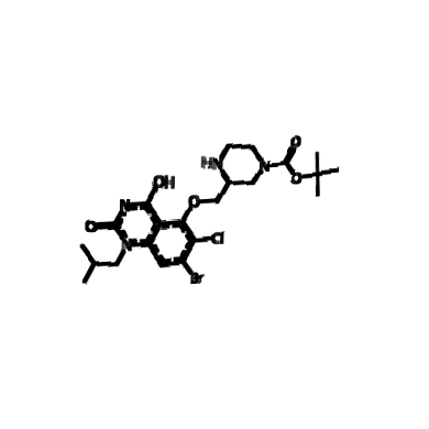 CC(C)Cn1c(=O)nc(O)c2c(OCC3CN(C(=O)OC(C)(C)C)CCN3)c(Cl)c(Br)cc21